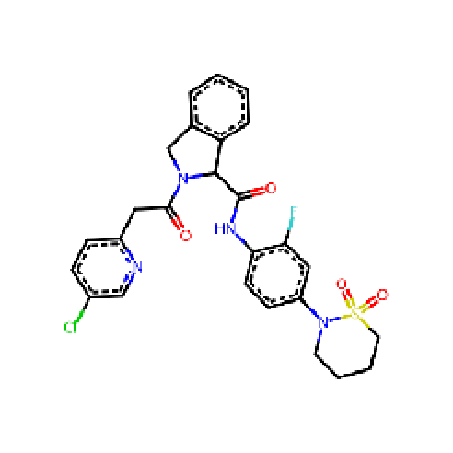 O=C(Nc1ccc(N2CCCCS2(=O)=O)cc1F)C1c2ccccc2CN1C(=O)Cc1ccc(Cl)cn1